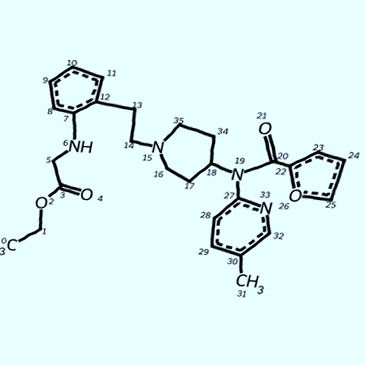 CCOC(=O)CNc1ccccc1CCN1CCC(N(C(=O)c2ccco2)c2ccc(C)cn2)CC1